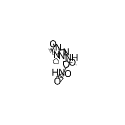 COc1cc(C(=O)N[C@H]2CCOC2)ccc1Nc1ncc2c(n1)N(C1CCCC1)C[C@@H](C)C(=O)N2C